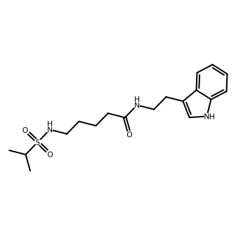 CC(C)S(=O)(=O)NCCCCC(=O)NCCc1c[nH]c2ccccc12